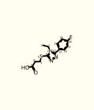 CCn1c(SCCC(=O)O)nnc1-c1ccc(F)cc1